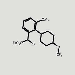 CCOC(=O)C(Br)c1cccc(OC)c1C1CCC(OC(F)(F)F)CC1